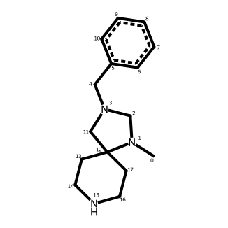 CN1CN(Cc2ccccc2)CC12CCNCC2